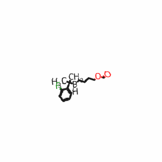 CC(C)(BCCCCOC=O)c1ccccc1F